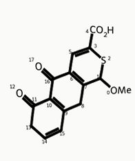 COC1SC(C(=O)O)=CC2=C1CC1=C(C(=O)CC=C1)C2=O